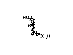 O=C(O)COOC(=O)CCC(=O)OOCC(=O)O